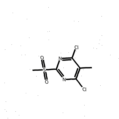 Cc1c(Cl)nc(S(C)(=O)=O)nc1Cl